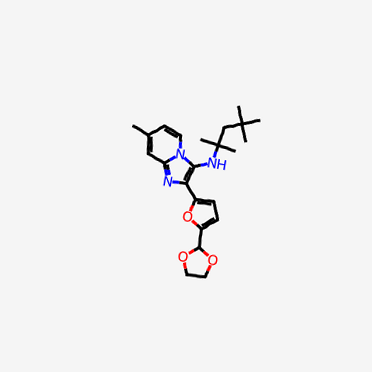 Cc1ccn2c(NC(C)(C)CC(C)(C)C)c(-c3ccc(C4OCCO4)o3)nc2c1